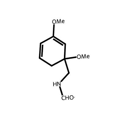 COC1=CC(CN[C]=O)(OC)CC=C1